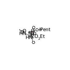 C=CCOC(=O)NCCCC[C@H](NC(CCc1ccccc1)C(=O)OCC)C(=O)N1CCC[C@H]1C(=O)OC(c1ccccc1)(c1ccccc1)c1ccc([C@H](C)CCC)cc1